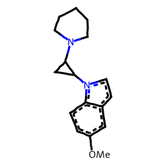 COc1ccc2c(ccn2C2CC2N2CCCCC2)c1